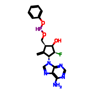 C=C1[C@@H](n2cnc3c(N)ncnc32)[C@@H](F)[C@H](O)[C@H]1COPOc1ccccc1